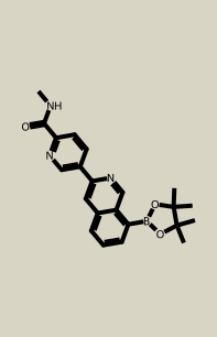 CNC(=O)c1ccc(-c2cc3cccc(B4OC(C)(C)C(C)(C)O4)c3cn2)cn1